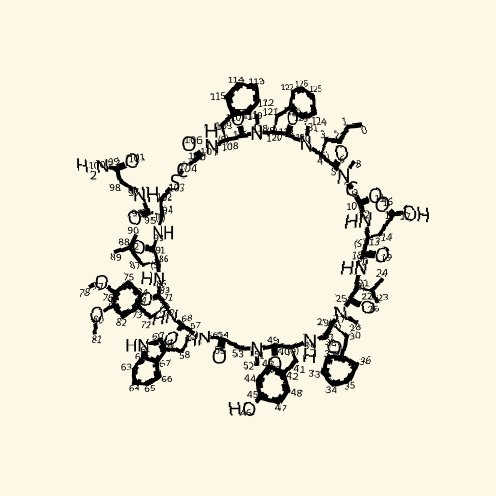 CCCC[C@H]1C(=O)N(C)CC(=O)N[C@@H](CC(=O)O)C(=O)N[C@@H](C(C)C)C(=O)N(C)[C@@H](Cc2ccccc2)C(=O)N[C@@H](Cc2ccc(O)cc2)C(=O)N(C)CC(=O)N[C@@H](Cc2c[nH]c3ccccc23)C(=O)N[C@@H](Cc2ccc(OC)c(OC)c2)C(=O)N[C@@H](CC(C)C)C(=O)N[C@H](C(=O)NCC(N)=O)CSCC(=O)N[C@@H](Cc2ccccc2)C(=O)N(C)[C@@H](Cc2ccccc2)C(=O)N1C